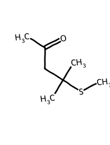 CSC(C)(C)CC(C)=O